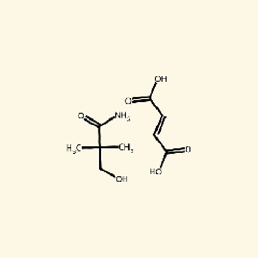 CC(C)(CO)C(N)=O.O=C(O)/C=C/C(=O)O